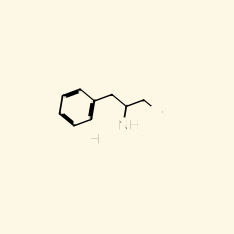 I.NC(CO)Cc1ccccc1